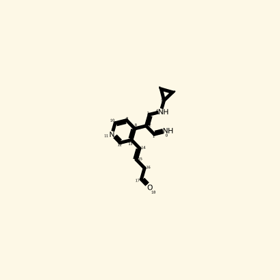 N=C/C(=C\NC1CC1)c1ccncc1/C=C/CC=O